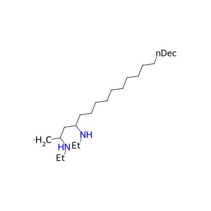 [CH2]C(CC(CCCCCCCCCCCCCCCCCCCC)NCC)NCC